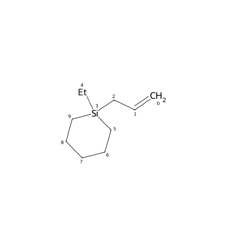 C=CC[Si]1(CC)CCCCC1